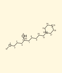 [CH2]OCCC[C@@H](O)CCCCCN1CCSCC1